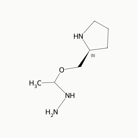 CC(NN)OC[C@@H]1CCCN1